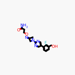 NC(=O)CCON=C1CN(c2ncc(-c3cccc(CO)c3F)cn2)C1